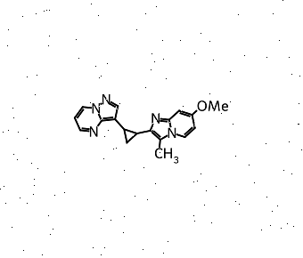 COc1ccn2c(C)c(C3CC3c3cnn4cccnc34)nc2c1